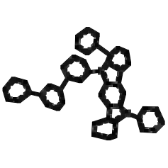 c1ccc(-c2cccc(-c3cccc(-n4c5cc6c7ccccc7n(-c7ccccc7)c6cc5c5cccc(-c6ccccc6)c54)c3)c2)cc1